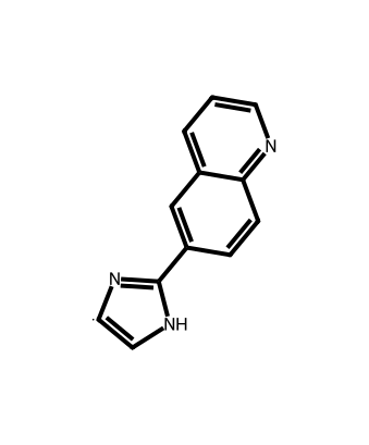 [c]1c[nH]c(-c2ccc3ncccc3c2)n1